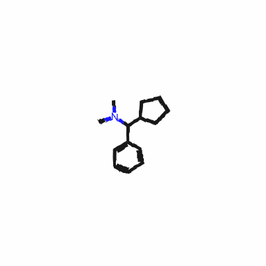 CN(C)C(c1ccccc1)C1CCCC1